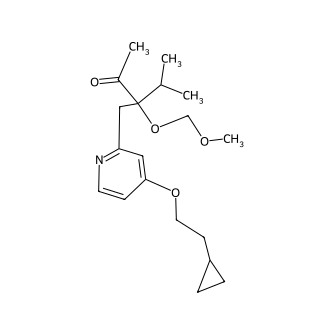 COCOC(Cc1cc(OCCC2CC2)ccn1)(C(C)=O)C(C)C